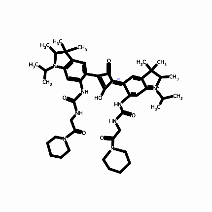 CC(C)N1c2cc(NC(=O)NCC(=O)N3CCCCC3)c(C3=C(O)/C(=c4/cc5c(cc4NC(=O)NCC(=O)N4CCCCC4)=[N+](C(C)C)C(C)C5(C)C)C3=O)cc2C(C)(C)C1C